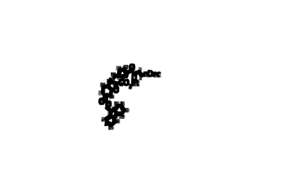 CCCCCCCCCCCCNC(=O)c1ccc(CN(CC2CCN(C(=O)OCC3c4ccccc4-c4ccccc43)CC2)C(=O)C(=O)OCC)cc1